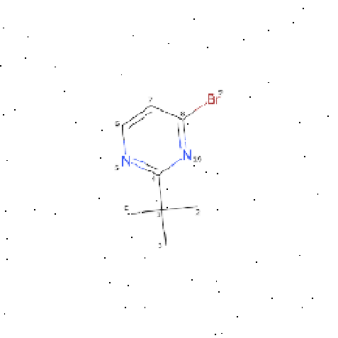 CC(C)(C)c1nccc(Br)n1